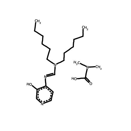 CCCCCCN(/C=N/c1ccncc1O)CCCCCC.CN(C)C(=O)O